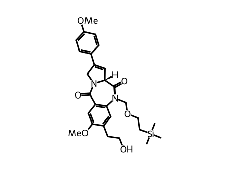 COc1ccc(C2=C[C@@H]3C(=O)N(COCC[Si](C)(C)C)c4cc(CCO)c(OC)cc4C(=O)N3C2)cc1